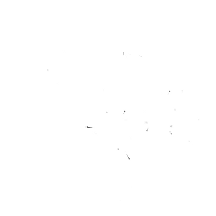 COC(=O)c1cc(O)c(=O)c2c(O)c(O)c(O[C@@H]3O[C@H](COC(C)=O)[C@@H](O[C@H]4O[C@H](COC(C)=O)[C@@H](C)[C@H](C)[C@H]4OC(C)=O)[C@H](C)[C@H]3OC(C)=O)cc2c1